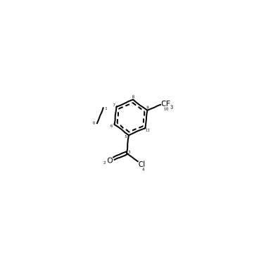 CC.O=C(Cl)c1cccc(C(F)(F)F)c1